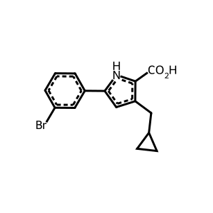 O=C(O)c1[nH]c(-c2cccc(Br)c2)cc1CC1CC1